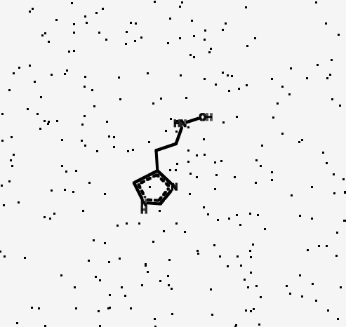 ONCCc1c[nH]cn1